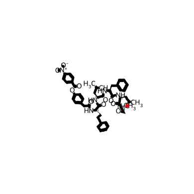 CC(C)C[C@H](NC(=O)[C@H](CCc1ccccc1)NC(=O)Cc1ccc(OC(=O)c2ccc([N+](=O)[O-])cc2)cc1)C(=O)N[C@@H](Cc1ccccc1)C(=O)N[C@@H](CC(C)C)C(=O)[C@@]1(C)CO1